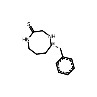 S=C1CN[C@H](Cc2ccccc2)CCCN1